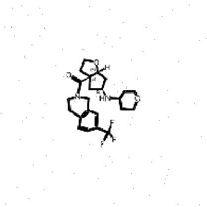 O=C(N1CCc2ccc(C(F)(F)F)cc2C1)[C@@]12CCO[C@@H]1C[C@@H](NC1CCOCC1)C2